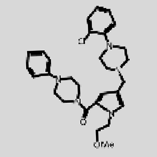 COCCn1cc(CN2CCN(c3ccccc3Cl)CC2)cc1C(=O)N1CCN(c2ccccc2)CC1